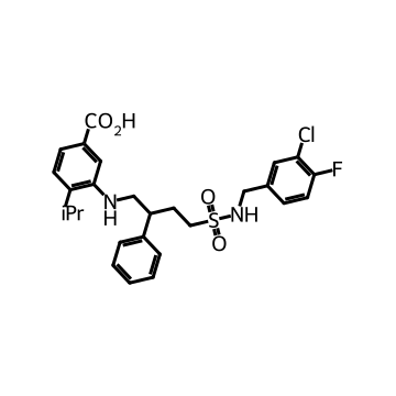 CC(C)c1ccc(C(=O)O)cc1NCC(CCS(=O)(=O)NCc1ccc(F)c(Cl)c1)c1ccccc1